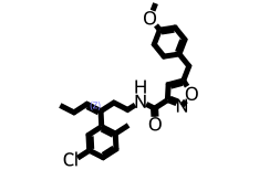 CC/C=C(/CCNC(=O)c1cc(CC2=CC=C(OC)CC2)on1)c1cc(Cl)ccc1C